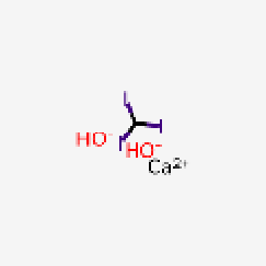 IC(I)I.[Ca+2].[OH-].[OH-]